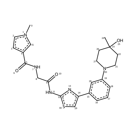 Cn1ccc(C(=O)NCC(=O)Nc2nc(-c3cccc(N4CCC(C)(O)CC4)c3)cs2)c1